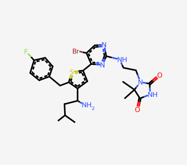 CC(C)CC(N)c1cc(-c2nc(NCCN3C(=O)NC(=O)C3(C)C)ncc2Br)sc1Cc1ccc(F)cc1